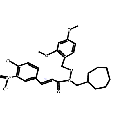 COc1ccc(CON(CC2CCCCCC2)C(=O)/C=C/c2ccc(Cl)c([N+](=O)[O-])c2)c(OC)c1